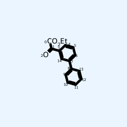 CCOC(=O)C(=O)c1cccc(-c2ccccc2)c1